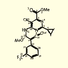 COC(=O)c1nc(C2CC2)nc(N[C@@H](OC)C(=C=O)c2cccc(C(F)(F)F)c2)c1Cl